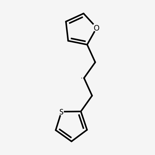 [CH](Cc1ccco1)Cc1cccs1